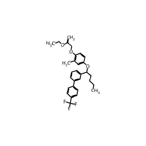 C=C(COc1ccc(OC(CCCC)c2cccc(-c3ccc(C(F)(F)F)cc3)c2)cc1C)OCC